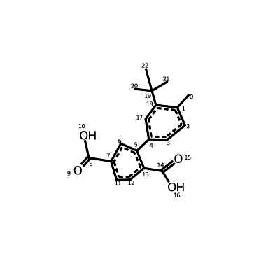 Cc1ccc(-c2cc(C(=O)O)ccc2C(=O)O)cc1C(C)(C)C